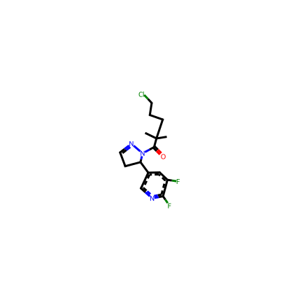 CC(C)(CCCCl)C(=O)N1N=CCC1c1cnc(F)c(F)c1